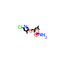 Cc1cc(Cl)ncc1OCC(C)(CC(C)C)OC(N)=O